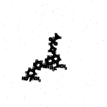 CC(C)c1ccc(N2CC(CS(=O)(=O)C3CC3)C2)c2cnc(Nc3ccnc(N4CC[C@@H](O)[C@@](C)(F)C4)n3)cc12